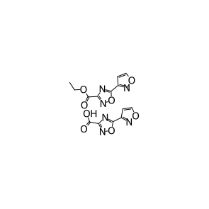 CCOC(=O)c1noc(-c2ccon2)n1.O=C(O)c1noc(-c2ccon2)n1